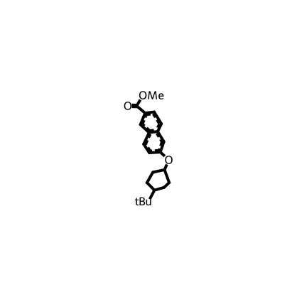 COC(=O)c1ccc2cc(OC3CCC(C(C)(C)C)CC3)ccc2c1